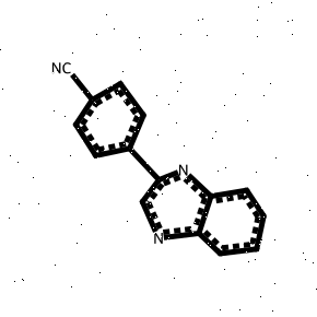 N#Cc1ccc(-c2cnc3ccccc3n2)cc1